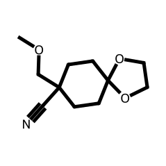 COCC1(C#N)CCC2(CC1)OCCO2